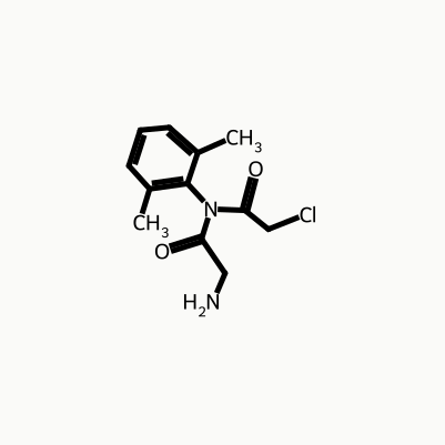 Cc1cccc(C)c1N(C(=O)CN)C(=O)CCl